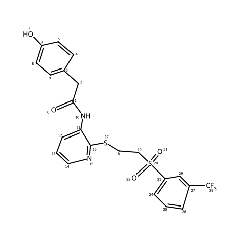 O=C(Cc1ccc(O)cc1)Nc1cccnc1SCCS(=O)(=O)c1cccc(C(F)(F)F)c1